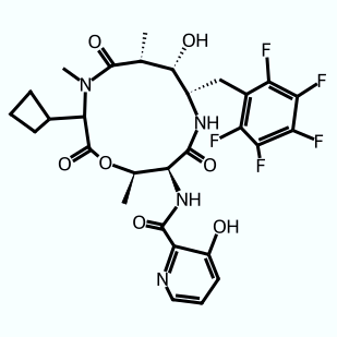 C[C@H]1OC(=O)C(C2CCC2)N(C)C(=O)[C@H](C)[C@H](O)[C@H](Cc2c(F)c(F)c(F)c(F)c2F)NC(=O)[C@H]1NC(=O)c1ncccc1O